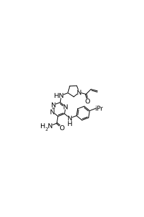 C=CC(=O)N1CCC(Nc2nnc(C(N)=O)c(Nc3ccc(C(C)C)cc3)n2)C1